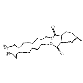 CC(C)CCCCCCCOC(=O)C1CCC(C)CC1C(=O)OCCCCCCCC(C)C